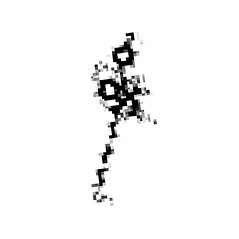 COCCOCCOCCNC(=S)C(C)(c1ccc(OC)cc1)C(CCOc1ccc(C)cc1)(CC(N)=O)C(=O)O